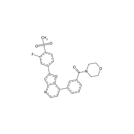 CS(=O)(=O)c1ccc(-c2cc3nccc(-c4cccc(C(=O)N5CCOCC5)c4)c3o2)cc1F